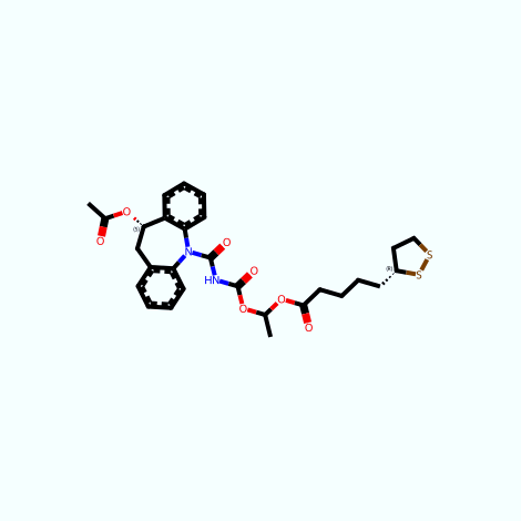 CC(=O)O[C@H]1Cc2ccccc2N(C(=O)NC(=O)OC(C)OC(=O)CCCC[C@@H]2CCSS2)c2ccccc21